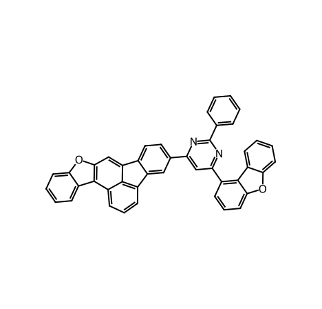 c1ccc(-c2nc(-c3ccc4c(c3)-c3cccc5c3c-4cc3oc4ccccc4c35)cc(-c3cccc4oc5ccccc5c34)n2)cc1